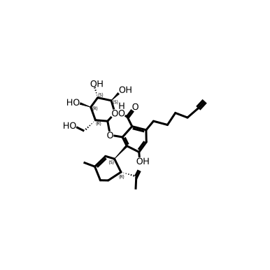 C#CCCCCc1cc(O)c([C@@H]2C=C(C)CC[C@H]2C(=C)C)c(OC2O[C@H](O)[C@@H](O)[C@H](O)[C@H]2CO)c1C(=O)O